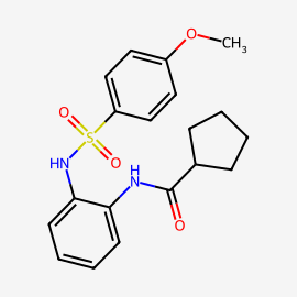 COc1ccc(S(=O)(=O)Nc2ccccc2NC(=O)C2CCCC2)cc1